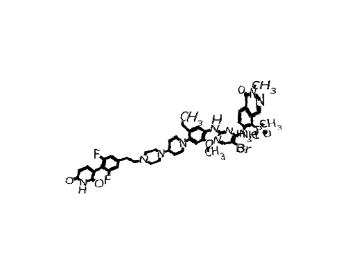 CCc1cc(Nc2ncc(Br)c(Nc3ccc4c(=O)n(C)ncc4c3P(C)(C)=O)n2)c(OC)cc1N1CCC(N2CCN(CCc3cc(F)c(C4CCC(=O)NC4=O)c(F)c3)CC2)CC1